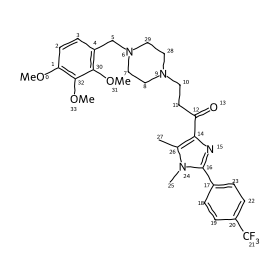 COc1ccc(CN2CCN(CCC(=O)c3nc(-c4ccc(C(F)(F)F)cc4)n(C)c3C)CC2)c(OC)c1OC